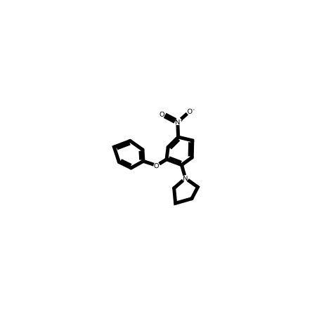 O=[N+]([O-])c1ccc(N2CCCC2)c(Oc2ccccc2)c1